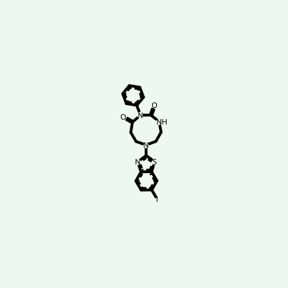 O=C1CCN(c2nc3ccc(I)cc3s2)CCNC(=O)N1c1ccccc1